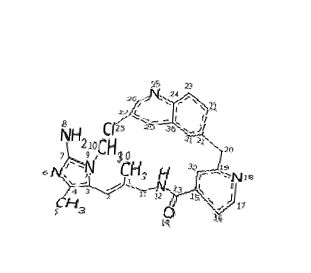 C/C(=C\c1c(C)nc(N)n1C)CNC(=O)c1ccnc(Cc2ccc3ncc(Cl)cc3c2)c1